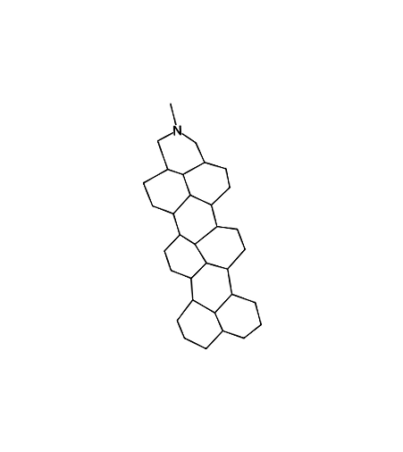 CN1CC2CCC3C4CCC5C6CCCC7CCCC(C8CCC(C9CCC(C1)C2C39)C4C58)C76